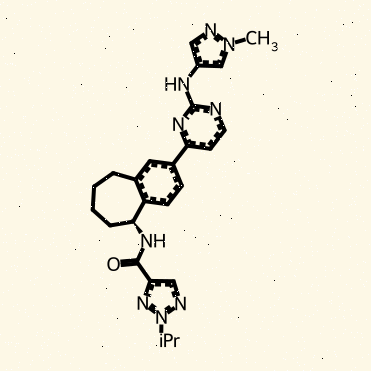 CC(C)n1ncc(C(=O)N[C@H]2CCCCc3cc(-c4ccnc(Nc5cnn(C)c5)n4)ccc32)n1